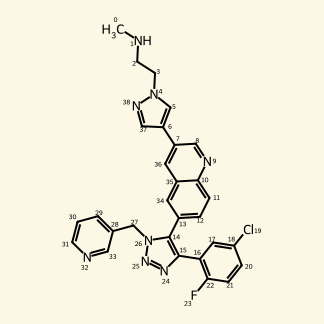 CNCCn1cc(-c2cnc3ccc(-c4c(-c5cc(Cl)ccc5F)nnn4Cc4cccnc4)cc3c2)cn1